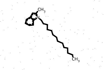 CCCCCCCCCCCCCCn1c(C)cc2ccccc21